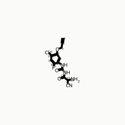 C#CCOc1cc(NC(=O)NC(=O)C(N)C#N)c(F)cc1Cl